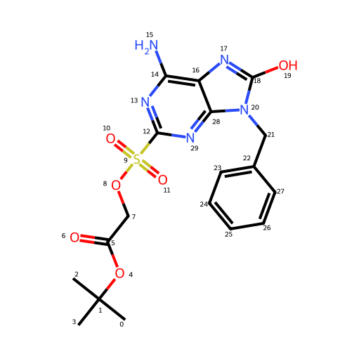 CC(C)(C)OC(=O)COS(=O)(=O)c1nc(N)c2nc(O)n(Cc3ccccc3)c2n1